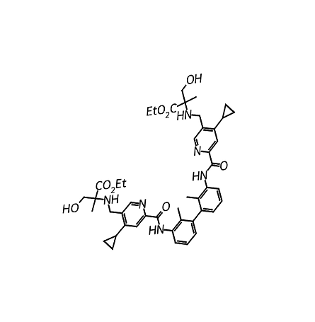 CCOC(=O)C(C)(CO)NCc1cnc(C(=O)Nc2cccc(-c3cccc(NC(=O)c4cc(C5CC5)c(CNC(C)(CO)C(=O)OCC)cn4)c3C)c2C)cc1C1CC1